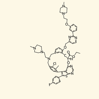 CCOC(=O)[C@H]1Cc2cc(ccc2OCc2ccnc(-c3cccc(OCCN4CCN(C)CC4)c3)n2)CN(CCN2CCN(C)CC2)Cc2ccc(c(C)c2Cl)-c2c(-c3ccc(F)cc3)sc3ncnc(c23)O1